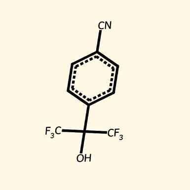 N#Cc1ccc(C(O)(C(F)(F)F)C(F)(F)F)cc1